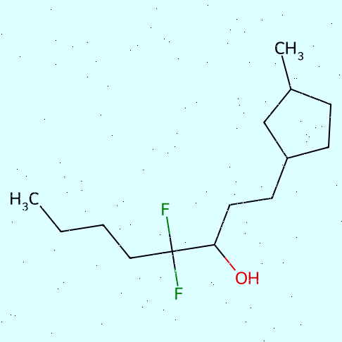 CCCCC(F)(F)C(O)CCC1CCC(C)C1